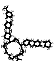 Cc1c2nc(c(C(C)C)c3ccc([nH]3)c(-c3ccc4nc5cc6nc7ccccc7nc6cc5nc4c3)c3nc(c(-c4ccc5nc6cc7nc8cc(C(C)C)ccc8nc7cc6nc5c4)c4ccc1[nH]4)C=C3)C=C2